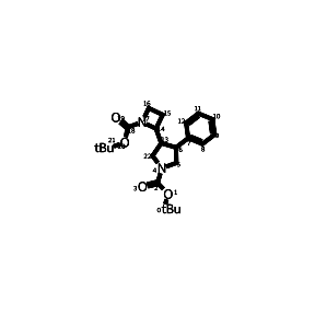 CC(C)(C)OC(=O)N1CC(c2ccccc2)C(C2[CH]CN2C(=O)OC(C)(C)C)C1